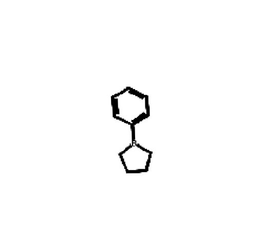 c1ccc(B2CCCC2)cc1